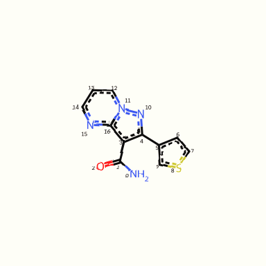 NC(=O)c1c(-c2ccsc2)nn2cccnc12